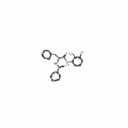 CCc1cccc(NC(=O)C(Cc2ccccc2)NC(=O)c2ccccc2)c1C